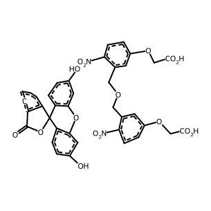 O=C(O)COc1ccc([N+](=O)[O-])c(COCc2cc(OCC(=O)O)ccc2[N+](=O)[O-])c1.O=C1OC2(c3ccc(O)cc3Oc3cc(O)ccc32)c2ccccc21